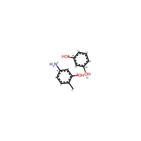 Cc1ccc(N)cc1O.Oc1cccc(O)c1